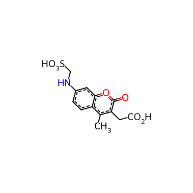 Cc1c(CC(=O)O)c(=O)oc2cc(NCS(=O)(=O)O)ccc12